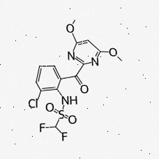 COc1cc(OC)nc(C(=O)c2cccc(Cl)c2NS(=O)(=O)C(F)F)n1